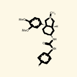 COc1ccc([C@@]23CC[C@@H](NC(=O)Nc4ccc(I)cc4)C[C@@H]2CN(C)C3)cc1OC